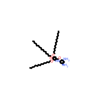 CCCCCCCCCCCCCCCCOc1cc(C(=O)Nc2cc(N)cc(N)c2)cc(OCCCCCCCCCCCCCCC)c1OCCCCCCCCCCCCCCCC